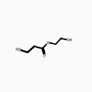 O=C(CCO)OCCO